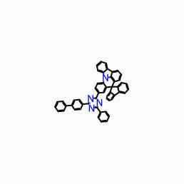 c1ccc(-c2ccc(-c3nc(-c4ccccc4)nc(-c4ccc5c(c4)C4(c6ccccc6-c6ccccc64)c4cccc6c7ccccc7n-5c46)n3)cc2)cc1